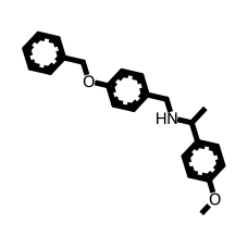 COc1ccc(C(C)NCc2ccc(OCc3ccccc3)cc2)cc1